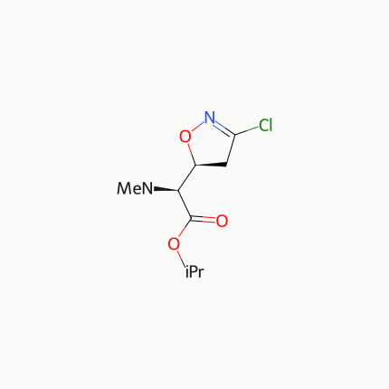 CN[C@H](C(=O)OC(C)C)[C@@H]1CC(Cl)=NO1